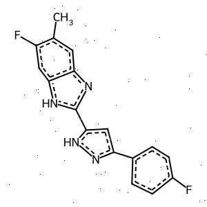 Cc1cc2nc(-c3cc(-c4ccc(F)cc4)n[nH]3)[nH]c2cc1F